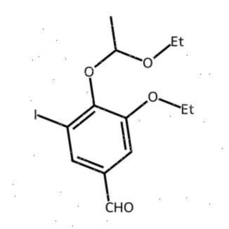 CCOc1cc(C=O)cc(I)c1OC(C)OCC